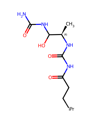 CC(C)CCC(=O)NC(=O)N[C@H](C)C(O)NC(N)=O